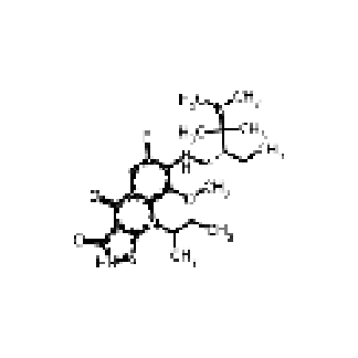 CCC(C)n1c2s[nH]c(=O)c2c(=O)c2cc(F)c(NC[C@@H](CC)C(C)(C)N(C)C)c(OC)c21